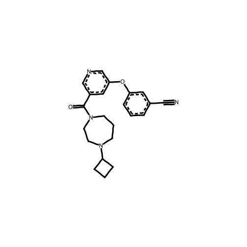 N#Cc1cccc(Oc2cncc(C(=O)N3CCCN(C4CCC4)CC3)c2)c1